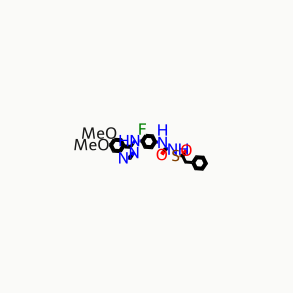 COc1cc2ncnc(Nc3ccc(NC(=O)NSC(=O)Cc4ccccc4)cc3F)c2cc1OC